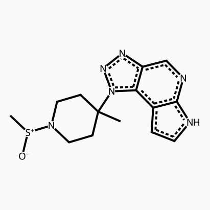 C[S+]([O-])N1CCC(C)(n2nnc3cnc4[nH]ccc4c32)CC1